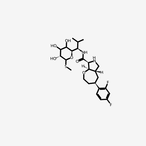 CSC1O[C@H]([C@H](NC(=O)[C@H]2NC[C@@H]3C[C@@H](c4ccc(F)cc4F)CCO[C@H]32)C(C)C)C(O)C(O)[C@H]1O